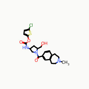 CN1CCc2ccc(C(=O)N3CC(NC(=O)Oc4ccc(Cl)s4)CC3CO)cc2CC1